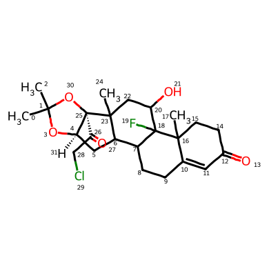 CC1(C)O[C@@H]2CC3C4CCC5=CC(=O)CCC5(C)C4(F)C(O)CC3(C)[C@]2(C(=O)CCl)O1